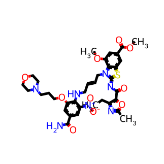 CCc1nc(C)oc1C(=O)/N=c1\sc2cc(C(=O)OC)cc(OC)c2n1C/C=C/CNc1c(OCCCN2CCOCC2)cc(C(N)=O)cc1[N+](=O)[O-]